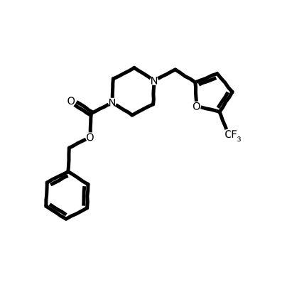 O=C(OCc1ccccc1)N1CCN(Cc2ccc(C(F)(F)F)o2)CC1